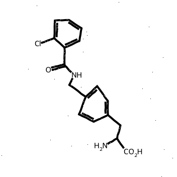 NC(Cc1ccc(CNC(=O)c2ccccc2Cl)cc1)C(=O)O